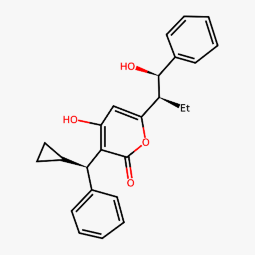 CC[C@@H](c1cc(O)c([C@@H](c2ccccc2)C2CC2)c(=O)o1)[C@@H](O)c1ccccc1